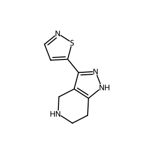 c1cc(-c2n[nH]c3c2CNCC3)sn1